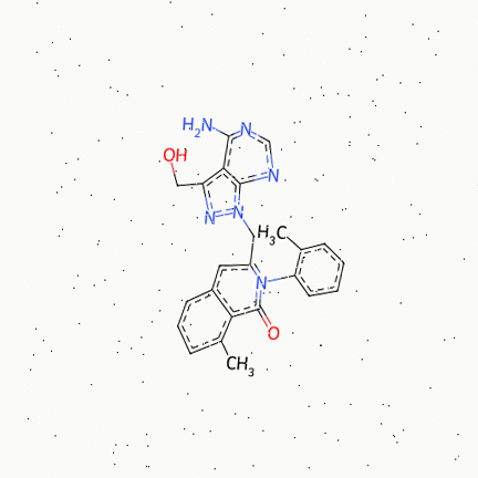 Cc1ccccc1-n1c(Cn2nc(CO)c3c(N)ncnc32)cc2cccc(C)c2c1=O